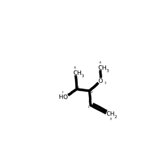 C=CC(OC)C(C)O